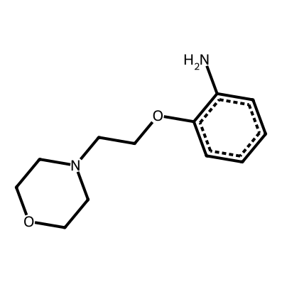 Nc1ccccc1OCCN1CCOCC1